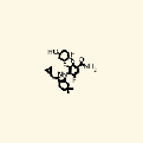 CC1(C)CCc2c(CC3CC3)nn(-c3c(F)cc(C(N)=O)c(N[C@H]4CC[C@H](O)CC4)c3F)c2C1